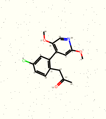 COc1cc(-c2cc(Cl)ccc2CC(C)=O)c(OC)cn1